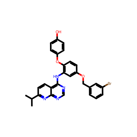 CC(C)c1ccc2c(Nc3cc(OCc4cccc(Br)c4)ccc3Oc3ccc(O)cc3)ncnc2n1